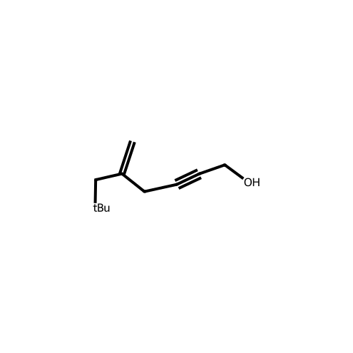 C=C(CC#CCO)CC(C)(C)C